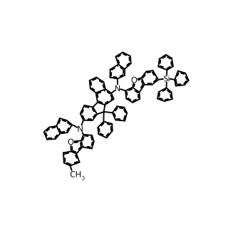 Cc1ccc2oc3c(N(c4ccc5c(c4)C(c4ccccc4)(c4ccccc4)c4cc(N(c6ccc7ccccc7c6)c6cccc7c6oc6ccc([Si](c8ccccc8)(c8ccccc8)c8ccccc8)cc67)c6ccccc6c4-5)c4ccc5ccccc5c4)cccc3c2c1